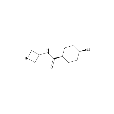 CC[C@H]1CC[C@@H](C(=O)NC2CNC2)CC1